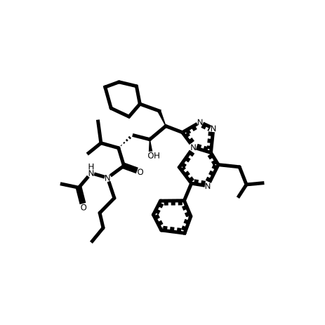 CCCCN(NC(C)=O)C(=O)[C@@H](C[C@H](O)[C@@H](CC1CCCCC1)c1nnc2c(CC(C)C)nc(-c3ccccc3)cn12)C(C)C